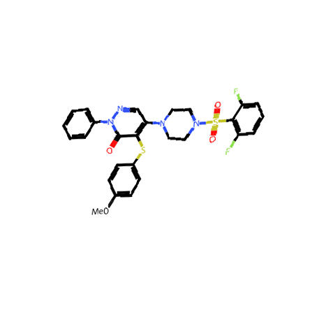 COc1ccc(Sc2c(N3CCN(S(=O)(=O)c4c(F)cccc4F)CC3)cnn(-c3ccccc3)c2=O)cc1